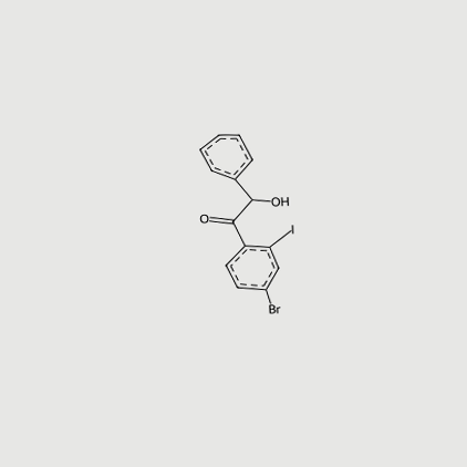 O=C(c1ccc(Br)cc1I)C(O)c1ccccc1